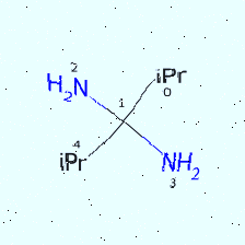 CC(C)C(N)(N)C(C)C